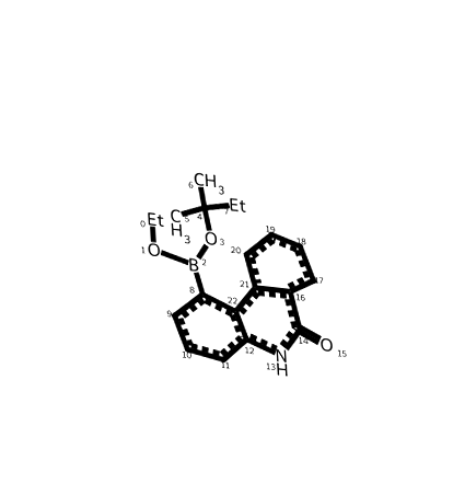 CCOB(OC(C)(C)CC)c1cccc2[nH]c(=O)c3ccccc3c12